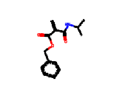 C=C(C(=O)NC(C)C)C(=O)OCc1ccccc1